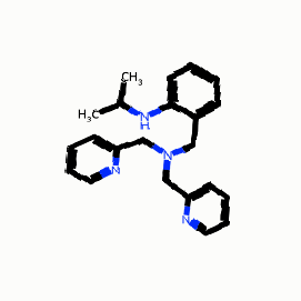 CC(C)Nc1ccccc1CN(Cc1ccccn1)Cc1ccccn1